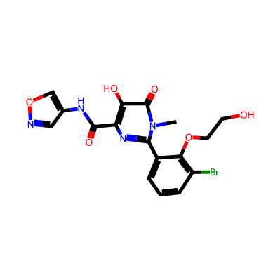 Cn1c(-c2cccc(Br)c2OCCO)nc(C(=O)Nc2cnoc2)c(O)c1=O